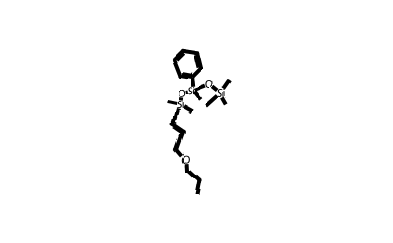 CCCOCCC[Si](C)(C)O[Si](C)(O[Si](C)(C)C)c1ccccc1